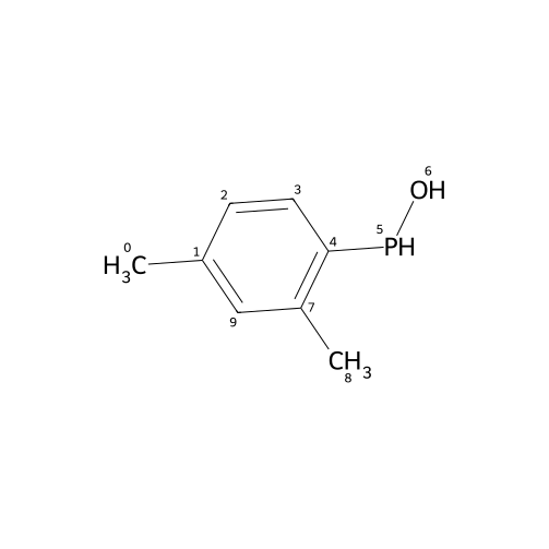 Cc1ccc(PO)c(C)c1